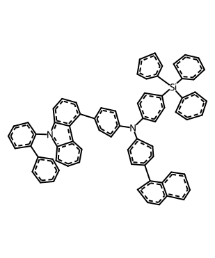 c1ccc(-c2ccccc2-n2c3ccccc3c3c(-c4ccc(N(c5ccc(-c6cccc7ccccc67)cc5)c5ccc([Si](c6ccccc6)(c6ccccc6)c6ccccc6)cc5)cc4)cccc32)cc1